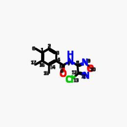 Cc1ccc(C(=O)Nc2nonc2Cl)c(C)c1C